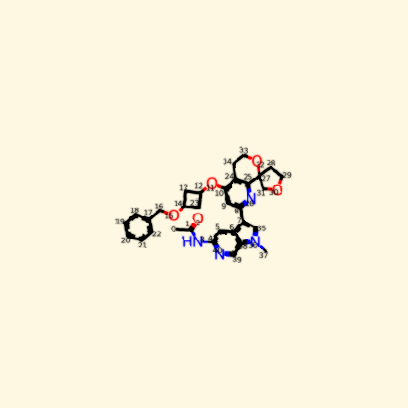 CC(=O)Nc1cc2c(-c3cc(OC4CC(OCc5ccccc5)C4)c4c(n3)C3(CCOC3)OCC4)cn(C)c2cn1